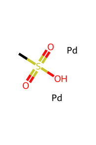 CS(=O)(=O)O.[Pd].[Pd]